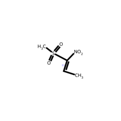 C/C=C(\[N+](=O)[O-])S(C)(=O)=O